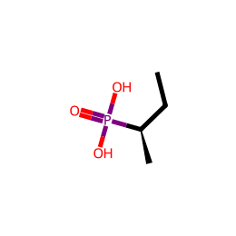 CC[C@@H](C)P(=O)(O)O